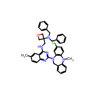 Cc1ccc2nc(N3Cc4ccccc4N(C)c4ccc(Cl)cc43)nc(NCC3(N(Cc4ccccc4)Cc4ccccc4)COC3)c2c1